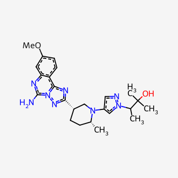 COc1ccc2c(c1)nc(N)n1nc([C@H]3CC[C@@H](C)N(c4cnn(C(C)C(C)(C)O)c4)C3)nc21